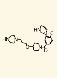 O=C(c1ccc(Cl)c(N2C=CCNC2)c1)N1CCC(OCCCN2CCNCC2)CC1